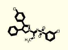 CSC(=NS(=O)(=O)c1cccc(Cl)c1)N1CC(c2ccccc2)C(c2ccc(Cl)cc2)=N1